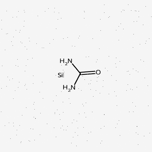 NC(N)=O.[Si]